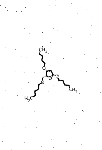 CCCCCOC[C@H]1O[C@H](OCCCCC)C[C@@H]1OCCCCC